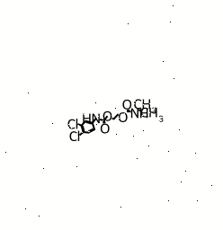 CC(C)NC(=O)OCCOC(=O)Nc1ccc(Cl)c(Cl)c1